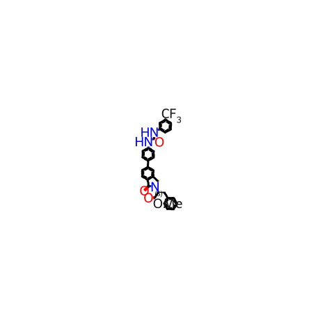 COC(=O)[C@H](Cc1ccccc1)N1Cc2cc(-c3ccc(NC(=O)Nc4cccc(C(F)(F)F)c4)cc3)ccc2C1=O